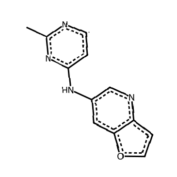 Cc1n[c]cc(Nc2cnc3ccoc3c2)n1